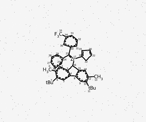 Cc1cc2c(cc1C(C)(C)C)-c1cc(C(C)(C)C)c(C)cc1[CH]2[Zr]([C]1=CC=CC1)=[C](c1ccccc1)c1cccc(C(F)(F)F)c1